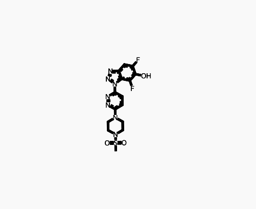 CS(=O)(=O)N1CCN(c2ccc(-n3nnc4cc(F)c(O)c(F)c43)nn2)CC1